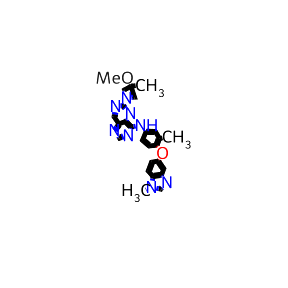 COC1(C)CN(c2ncc3ncnc(Nc4ccc(Oc5ccc6c(c5)ncn6C)c(C)c4)c3n2)C1